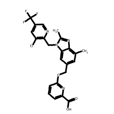 Cc1cc(COc2cccc(C(=O)O)n2)cc2c1nc(C)n2Cc1ncc(C(F)(F)F)cc1Cl